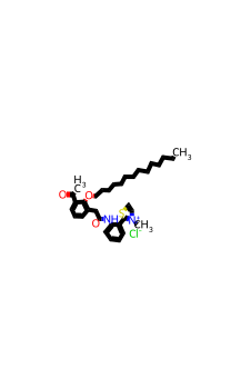 CCCCCCCCCCCCCCOc1c(CC(=O)Nc2ccccc2-c2scc[n+]2C)cccc1C(C)=O.[Cl-]